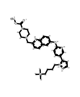 CC(C)(C)OC(=O)N1CCN(Cc2ccc3cc(Oc4ccc(-c5ccnn5CCCC[Si](C)(C)C)cn4)ccc3n2)CC1